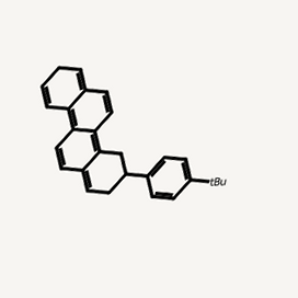 CC(C)(C)c1ccc(C2CC=c3ccc4c5c(ccc4c3C2)=CCC=C5)cc1